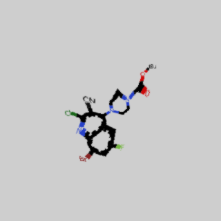 CC(C)(C)OC(=O)N1CCN(c2c(C#N)c(Cl)nc3c(Br)cc(F)cc23)CC1